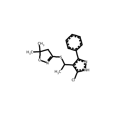 CC(SC1=NOC(C)(C)C1)c1c(-c2ccccc2)n[nH]c1Cl